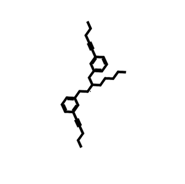 CCCC#Cc1cccc(C[CH]C(CCCCC)Cc2cccc(C#CCCC)c2)c1